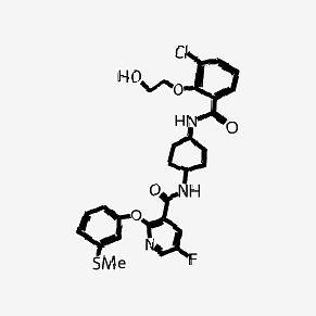 CSc1cccc(Oc2ncc(F)cc2C(=O)NC2CCC(NC(=O)c3cccc(Cl)c3OCCO)CC2)c1